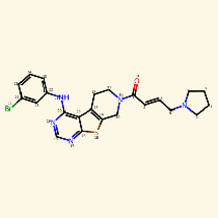 O=C(C=CCN1CCCC1)N1CCc2c(sc3ncnc(Nc4cccc(Br)c4)c23)C1